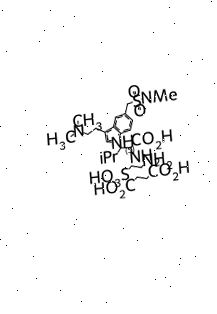 CC(C)C[C@H](N)C(=O)O.CNS(=O)(=O)Cc1ccc2[nH]cc(CCN(C)C)c2c1.NCCS(=O)(=O)O.O=C(O)CCC(=O)O